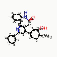 COc1ccc(-c2cc(-c3ccccc3)nc3c2CC(=O)Nc2ccccc2-3)cc1O